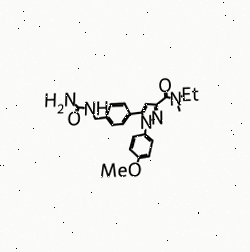 CCN(C)C(=O)c1cc(-c2ccc(CNC(N)=O)cc2)n(-c2ccc(OC)cc2)n1